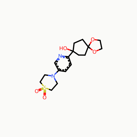 O=S1(=O)CCN(c2ccc(C3(O)CCC4(CC3)OCCO4)nc2)CC1